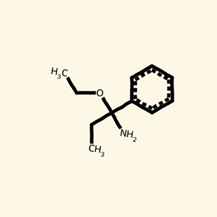 CCOC(N)(CC)c1ccccc1